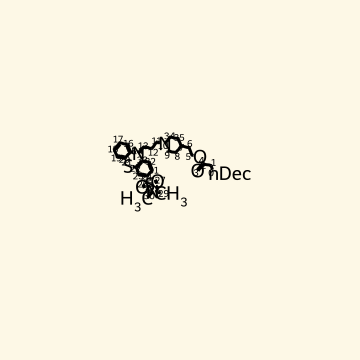 CCCCCCCCCCCC(=O)OCCC1CCN(CCCN2c3ccccc3Sc3cc(S(=O)(=O)N(C)C)ccc32)CC1